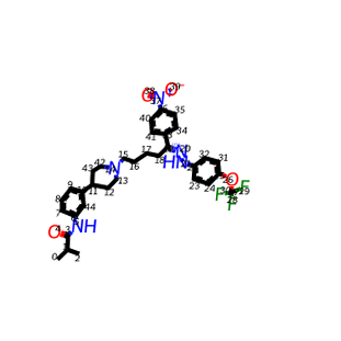 CC(C)C(=O)Nc1cccc(C2CCN(CCCC/C(=N\Nc3ccc(OC(F)(F)F)cc3)c3ccc([N+](=O)[O-])cc3)CC2)c1